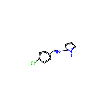 Clc1ccc(CNc2ccc[nH]2)cc1